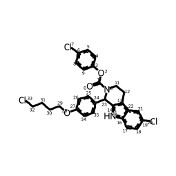 O=C(Oc1ccc(Cl)cc1)N1CCc2c([nH]c3ccc(Cl)cc23)C1c1ccc(OCCCCCl)cc1